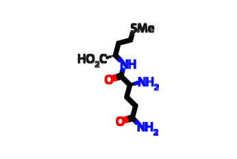 CSCC[C@H](NC(=O)[C@@H](N)CCC(N)=O)C(=O)O